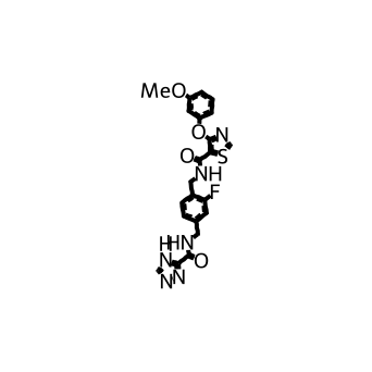 COc1cccc(Oc2ncsc2C(=O)NCc2ccc(CNC(=O)c3nnc[nH]3)cc2F)c1